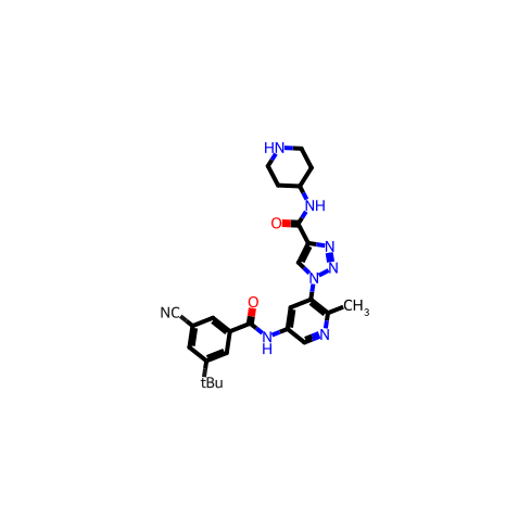 Cc1ncc(NC(=O)c2cc(C#N)cc(C(C)(C)C)c2)cc1-n1cc(C(=O)NC2CCNCC2)nn1